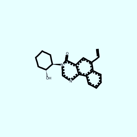 C=Cc1cc2c(=O)n([C@@H]3CCCC[C@H]3O)cnc2c2ccccc12